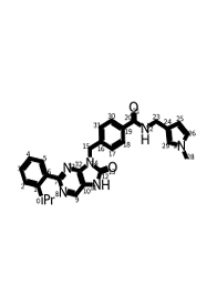 CC(C)c1ccccc1-c1ncc2[nH]c(=O)n(Cc3ccc(C(=O)NCc4ccn(C)c4)cc3)c2n1